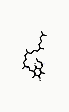 CC/C=C\C1=C(C)C(=O)C(C)=C(C/C=C(\C)CCCC(C)CCCC(C)CCCC(C)C)C1=O